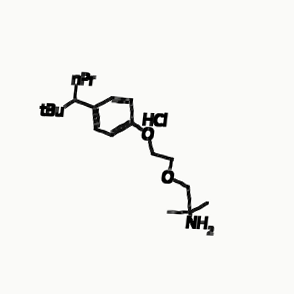 CCCC(c1ccc(OCCOCC(C)(C)N)cc1)C(C)(C)C.Cl